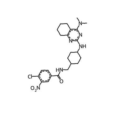 CN(C)c1nc(NC2CCC(CNC(=O)c3ccc(Cl)c([N+](=O)[O-])c3)CC2)nc2c1CCCC2